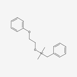 C[N+](C)(Cc1ccccc1)OCCOc1ccccc1